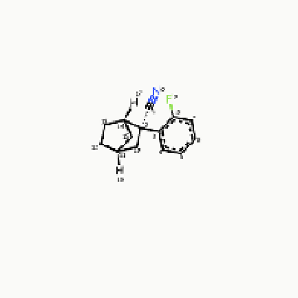 N#C[C@]1(c2ccccc2F)C[C@@H]2CC[C@H]1C2